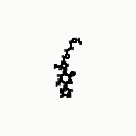 CCCCOC[C@H]1C[C@@H](n2cc(F)c(-n3cncn3)nc2=O)C1F